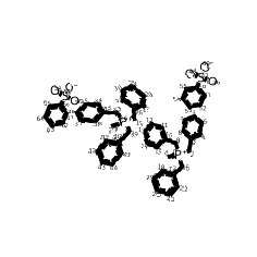 C[P+](Cc1ccccc1)(Cc1ccccc1)Cc1ccccc1.C[P+](Cc1ccccc1)(Cc1ccccc1)Cc1ccccc1.O=S(=O)([O-])c1ccccc1.O=S(=O)([O-])c1ccccc1